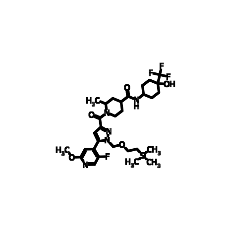 COc1cc(-c2cc(C(=O)N3CCC(C(=O)NC4CCC(O)(C(F)(F)F)CC4)CC3C)nn2COCC[Si](C)(C)C)c(F)cn1